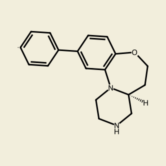 [c]1ccc(-c2ccc3c(c2)N2CCNC[C@@H]2CCO3)cc1